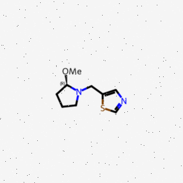 CO[C@@H]1CCCN1Cc1cn[c]s1